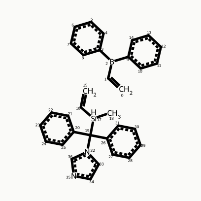 C=CB(c1ccccc1)c1ccccc1.C=C[SiH](C)C(c1ccccc1)(c1ccccc1)n1ccnc1